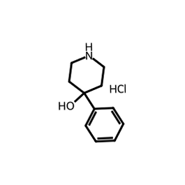 Cl.OC1(c2ccccc2)CCNCC1